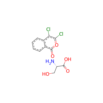 N[C@@H](CO)C(=O)O.O=c1oc(Cl)c(Cl)c2ccccc12